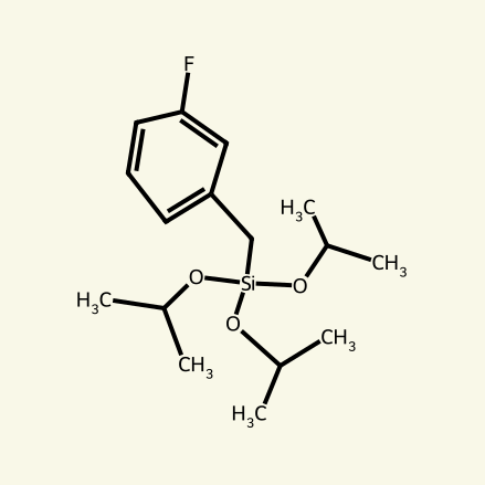 CC(C)O[Si](Cc1cccc(F)c1)(OC(C)C)OC(C)C